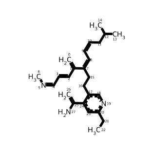 C=C(/C=C/C=N\C)/C(=C\C=C/CC(C)C)CCc1cnc(CC)cc1C(=C)N